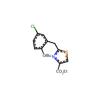 CCOC(=O)c1csc(Cc2cc(Cl)ccc2OCC(C)C)n1